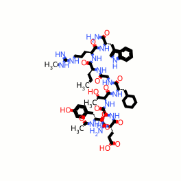 CCC[C@H](NC(=O)CNC(=O)[C@H](CC1CCCCC1)NC(=O)[C@@H](NC(=O)[C@H](CC(N)=O)NC(=O)[C@H](CCC(=O)O)NC(=O)[C@@H](Cc1ccc(O)cc1)NC(C)=O)[C@@H](C)O)C(=O)N[C@@H](CCCNC(=N)NC)C(=O)N[C@@H](Cc1c[nH]c2ccccc12)C(N)=O